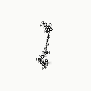 Cc1cc(S(=O)(=O)NCCOCCOCCOCCOCCNc2cccc3c2C(=O)N(C2CCC(=O)NC2=O)C3=O)ccc1Nc1ncc2cc(C(F)F)c(=O)n([C@@H]3CCC[C@@]3(C)O)c2n1